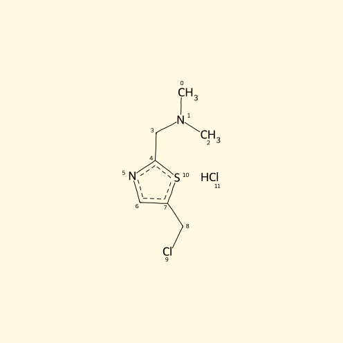 CN(C)Cc1ncc(CCl)s1.Cl